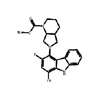 CC(C)(C)OC(=O)N1CCCC2CN(c3c(F)cc(C#N)c4[nH]c5ccccc5c34)CC21